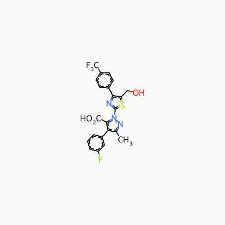 Cc1nn(-c2nc(-c3ccc(C(F)(F)F)cc3)c(CO)s2)c(C(=O)O)c1-c1cccc(F)c1